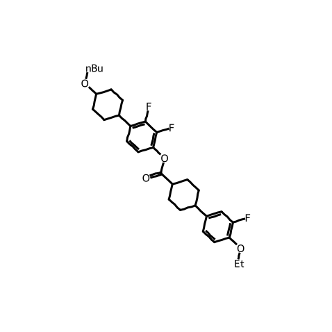 CCCCOC1CCC(c2ccc(OC(=O)C3CCC(c4ccc(OCC)c(F)c4)CC3)c(F)c2F)CC1